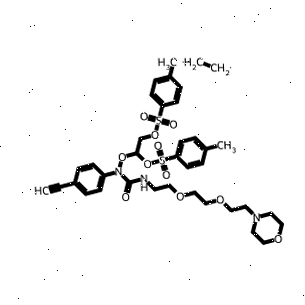 C#Cc1ccc(N(OC(COS(=O)(=O)c2ccc(C)cc2)OS(=O)(=O)c2ccc(C)cc2)C(=O)NCCOCCOCCN2CCOCC2)cc1.[CH2][CH2]